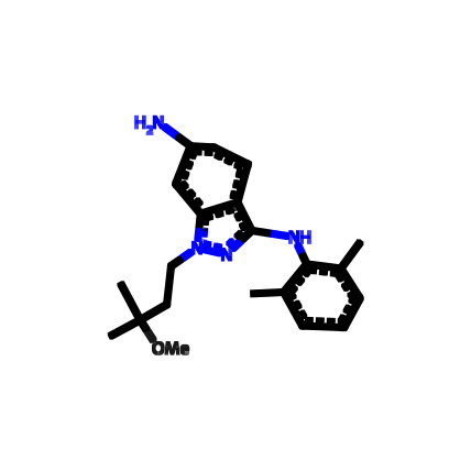 COC(C)(C)CCn1nc(Nc2c(C)cccc2C)c2ccc(N)cc21